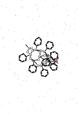 CO[Si]1(c2ccccc2)O[Si]2(c3ccccc3)O[Si](O[SiH2]C)(c3ccccc3)O[Si](c3ccccc3)(O1)O[Si]1(c3ccccc3)O[Si](O[Si](C)(C)C)(c3ccccc3)O[Si](c3ccccc3)(O[Si](O[Si](C)(C)C)(c3ccccc3)O1)O2